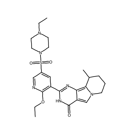 CCOc1ncc(S(=O)(=O)N2CCN(CC)CC2)cc1-c1nc2c3n(cc2c(=O)[nH]1)CCCC3C